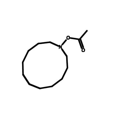 CC(=O)ON1CCCCCCCCCCC1